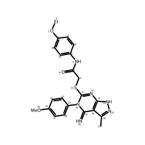 CCOc1ccc(NC(=O)CSc2nc3[nH]nc(C)c3c(=N)n2-c2ccc(OC)cc2)cc1